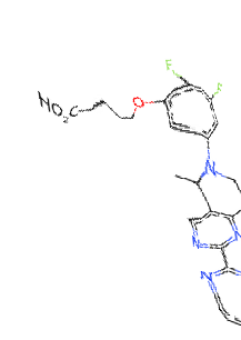 CC1c2cnc(-c3ncccn3)nc2CCN1c1cc(F)c(F)c(OCCCC(=O)O)c1